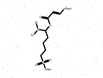 CCCCCC=CC(=O)OC(CCCCS(=O)(=O)OC)N(CC)CC